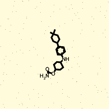 CC1(C)CCC(c2ccc(NC3CCC(OC(N)=O)CC3)cc2)CC1